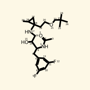 CC(=O)NC(Cc1cc(F)cc(F)c1)C(O)CNC1(CCOCC(C)(C)C)CC1C